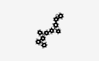 c1ccc(N(c2ccc(-c3ccc(N(c4ccccc4)c4ccc5c(c4)c4ccccc4n5-c4ccccc4)cc3)cc2)c2ccc(-c3ccc4oc5ccccc5c4c3)cc2)cc1